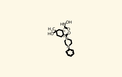 C[C@]1(O)CC[C@H](C(=O)N2CCN(c3ccccc3)CC2)[C@@H](C(=O)NO)C1